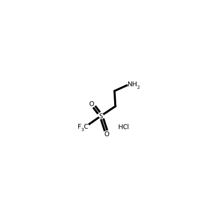 Cl.NCCS(=O)(=O)C(F)(F)F